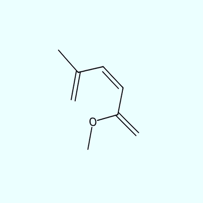 C=C(C)/C=C\C(=C)OC